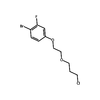 Fc1cc(OCCOCCCCl)ccc1Br